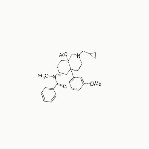 COc1cccc(C23CCN(CC4CC4)CC2(OC(C)=O)CC[C@@H](N(C)C(=O)c2ccccc2)C3)c1